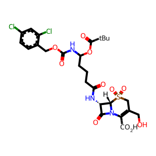 CC(C)(C)C(=O)OC(CCCC(=O)N[C@H]1C(=O)N2C(C(=O)O)=C(CO)CS(=O)(=O)[C@@H]12)NC(=O)OCc1ccc(Cl)cc1Cl